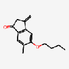 C=C1CC(=O)c2cc(C)c(OCCCC)cc21